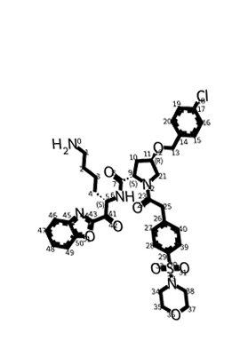 NCCCC[C@H](NC(=O)[C@@H]1C[C@@H](OCc2ccc(Cl)cc2)CN1C(=O)Cc1ccc(S(=O)(=O)N2CCOCC2)cc1)C(=O)c1nc2ccccc2o1